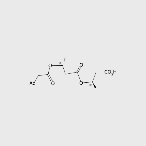 CC(=O)CC(=O)O[C@H](C)CC(=O)O[C@H](C)CC(=O)O